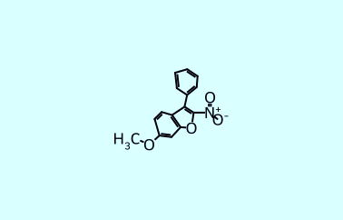 COc1ccc2c(-c3ccccc3)c([N+](=O)[O-])oc2c1